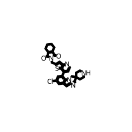 N#CC1(Cn2ccc3cc(Cl)cc(-c4ccnc5cc(CN6C(=O)C7=C(CCCC7)C6=O)sc45)c32)CCNCC1